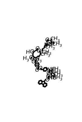 CCC(O)C(C)[C@@H]1O[C@H]1CC(C)(O)/C=C/C=C(\C)[C@H]1OC(=O)C[C@H](O)CC[C@@](C)(OC)[C@@H](OC(=O)N2CCN(C(=O)OCc3ccc(NC(=O)C(C)NC(=O)C(NC(=O)OCC4c5ccccc5-c5ccccc54)C(C)C)cc3)CC2)/C=C/[C@@H]1C